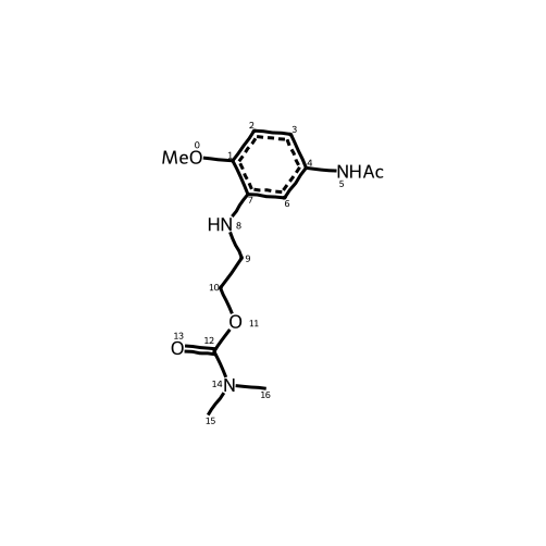 COc1ccc(NC(C)=O)cc1NCCOC(=O)N(C)C